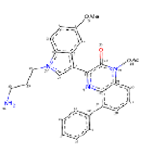 COc1ccc2c(c1)c(-c1nc3c(-c4ccccc4)cccc3n(OC(C)=O)c1=O)cn2CCCN